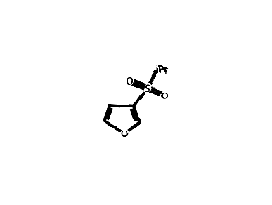 CC(C)S(=O)(=O)c1ccoc1